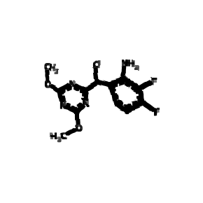 COc1nc(OC)nc(C(Cl)c2ccc(F)c(F)c2N)n1